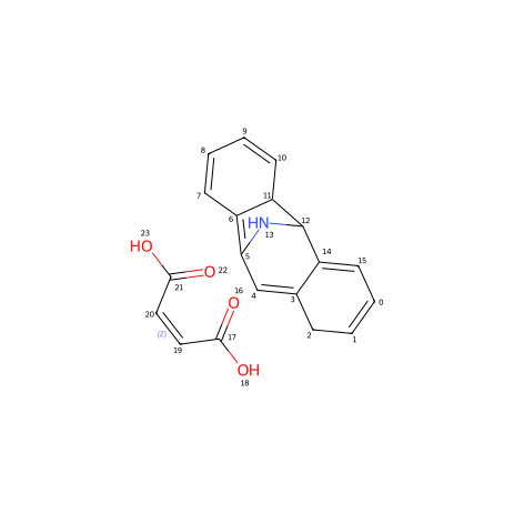 C1=CCC2=CC3=C4C=CC=CC4C(N3)C2=C1.O=C(O)/C=C\C(=O)O